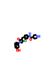 O=C(Nc1ccc(CC2CCN(C3C4CC5CC3CC(O)(C5)C4)C2=O)c(Cl)c1)C1CCNCC1